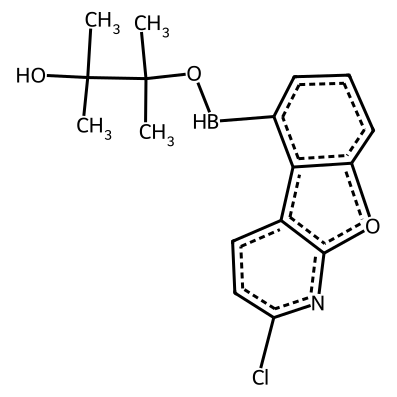 CC(C)(O)C(C)(C)OBc1cccc2oc3nc(Cl)ccc3c12